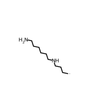 [CH2]CCCNCCCCCCN